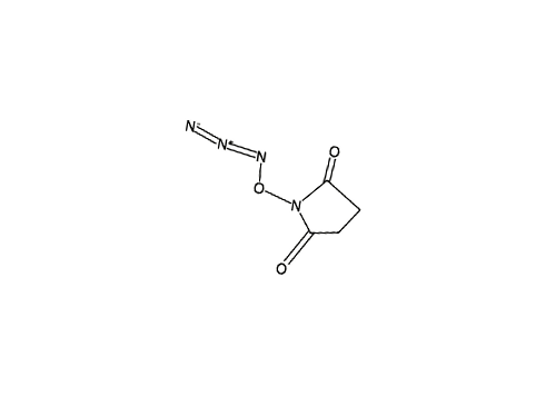 [N-]=[N+]=NON1C(=O)CCC1=O